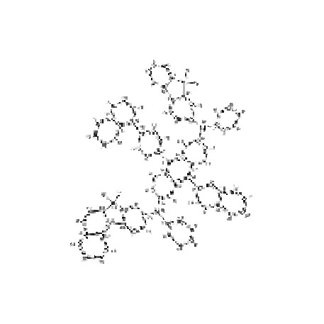 CC1(C)c2ccccc2-c2ccc(N(c3ccccc3)c3ccc4c(-c5ccc6ccccc6c5)c5cc(N(c6ccccc6)c6ccc7c(c6)C(C)(C)c6ccc8ccccc8c6-7)ccc5c(-c5ccc(-c6cccc7ccccc67)cc5)c4c3)cc21